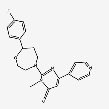 Cn1c(N2CCOC(c3ccc(F)cc3)CC2)nc(-c2ccncc2)cc1=O